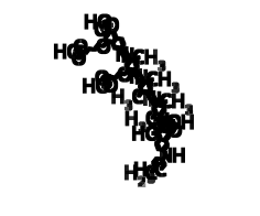 C=C/C=C\C(=C/C)Nc1ccc2c(O)c(/N=N/c3cc(C)c(N=Nc4cc(C)c(N=Nc5cc(C)c(N=Nc6ccc7cc(S(=O)(=O)O)cc(OCCCCS(=O)(=O)O)c7c6)cc5OCCCS(=O)(=O)O)cc4C)cc3C)c(S(=O)(=O)O)cc2c1